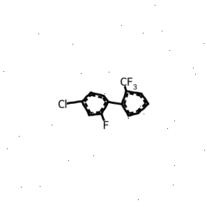 Fc1cc(Cl)ccc1-c1[c]cccc1C(F)(F)F